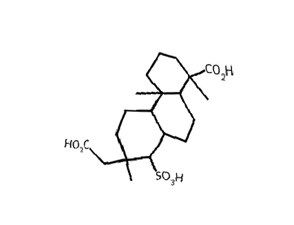 CC1(CC(=O)O)CCC2C(CCC3C(C)(C(=O)O)CCCC23C)C1S(=O)(=O)O